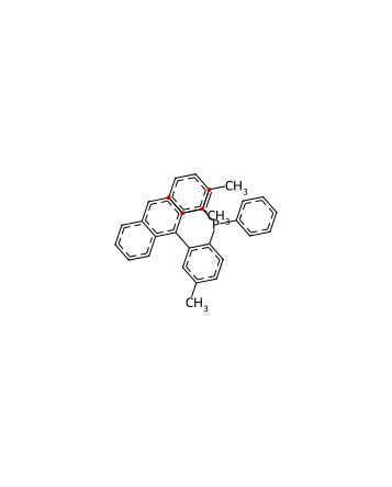 CC=C(C)c1ccc2ccccc2c1-c1cc(C)ccc1P(c1ccccc1)c1ccccc1